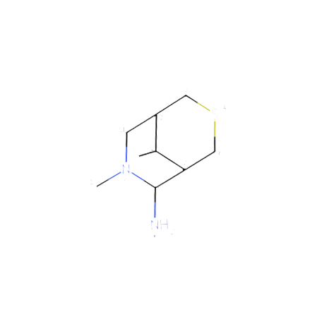 CC1C2CSCC1C(N)N(C)C2